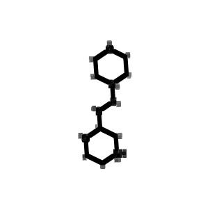 C1COC(SSN2CCOCC2)CN1